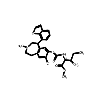 CCC(C)[C@H](NC(=O)Oc1cc2c(cc1Cl)CCN(C)CC2c1cccc2ccoc12)C(=O)OC